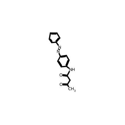 CC(=O)CC(=O)Nc1ccc(/N=N/c2ccccc2)cc1